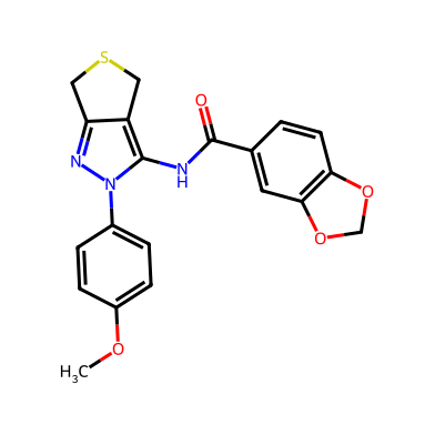 COc1ccc(-n2nc3c(c2NC(=O)c2ccc4c(c2)OCO4)CSC3)cc1